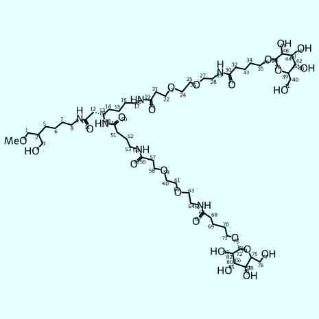 COCC(CO)CCCCNC(=O)C[C@H](CCCCNC(=O)CCOCCOCCNC(=O)CCCCO[C@@H]1OC(CO)[C@@H](O)[C@H](O)C1O)NC(=O)CCCNC(=O)CCOCCOCCNC(=O)CCCCO[C@@H]1OC(CO)[C@@H](O)[C@H](O)C1O